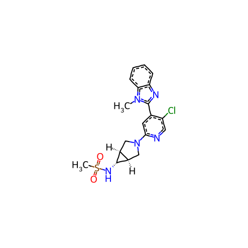 Cn1c(-c2cc(N3C[C@@H]4[C@H](C3)[C@H]4NS(C)(=O)=O)ncc2Cl)nc2ccccc21